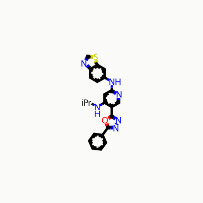 CC(C)Nc1cc(Nc2ccc3ncsc3c2)ncc1-c1nnc(-c2ccccc2)o1